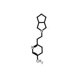 CC1=CN=C(CCN2CC3CCCC3C2)CC1